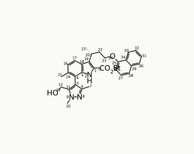 CCOC(=O)c1[nH]c2c(-c3c(C)nn(C)c3CO)c(C)ccc2c1[C@H](C)CCOc1cccc2ccccc12